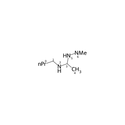 CCCCNC(C)NNC